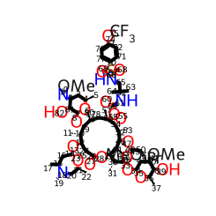 CO/N=C1\C[C@@H](C)O[C@@H](O[C@@H]2[C@@H](C)[C@H](O[C@H]3CC(C)N(C)C[C@H](C)O3)[C@@H](C)C(=O)O[C@H]([C@@H](C)CO[C@@H]3O[C@H](C)[C@@H](O)[C@@H](OC)[C@H]3OC)[C@H](C)[C@@H](OC(=O)CC(C)C)[C@@H](C)C(=O)[C@@](C)(OC(=O)NC(C)(C)CNS(=O)(=O)c3ccc(OC(F)(F)F)cc3)C[C@@H]2C)[C@@H]1O